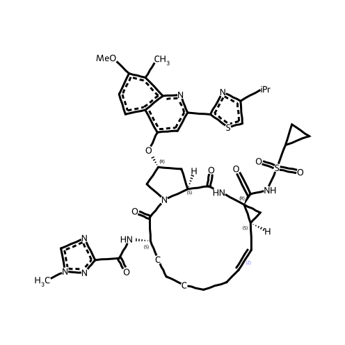 COc1ccc2c(O[C@@H]3C[C@H]4C(=O)N[C@]5(C(=O)NS(=O)(=O)C6CC6)C[C@H]5/C=C\CCCCC[C@H](NC(=O)c5ncn(C)n5)C(=O)N4C3)cc(-c3nc(C(C)C)cs3)nc2c1C